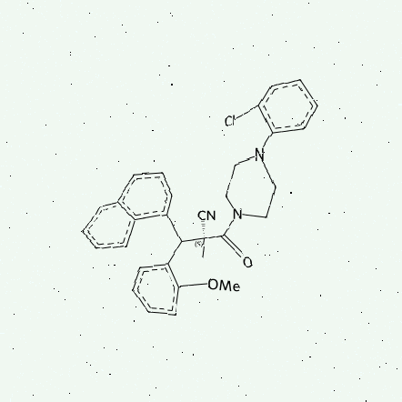 COc1ccccc1C(c1cccc2ccccc12)[C@@](C)(C#N)C(=O)N1CCN(c2ccccc2Cl)CC1